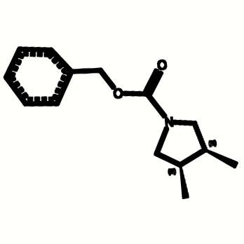 C[C@@H]1CN(C(=O)OCc2ccccc2)C[C@@H]1C